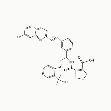 CC(C)(O)c1ccccc1OCC(NC(=O)C1=C(C(=O)O)CCC1)c1cccc(/C=C/c2ccc3ccc(Cl)cc3n2)c1